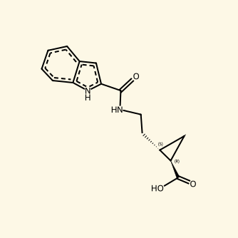 O=C(NCC[C@@H]1C[C@H]1C(=O)O)c1cc2ccccc2[nH]1